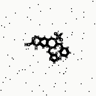 CS(=O)(=O)N1Cc2cc(Br)c(NC(=O)O)cc2N(Cc2c[nH]cn2)CC1Cc1ccccc1